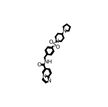 O=C(NCc1ccc(S(=O)(=O)N2CCC(N3CCCC3)CC2)cc1)c1ccc2nccn2c1